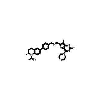 CC(=O)N1c2ccc(-c3ccc(C/N=C/c4sc5c(N6CCOCC6)nc(Cl)nc5c4C)cc3)cc2CC[C@@H]1C